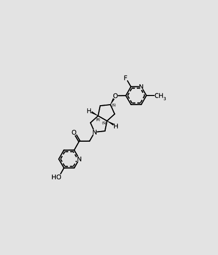 Cc1ccc(O[C@H]2C[C@@H]3CN(CC(=O)c4ccc(O)cn4)C[C@@H]3C2)c(F)n1